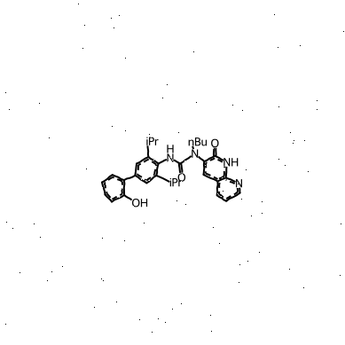 CCCCN(C(=O)Nc1c(C(C)C)cc(-c2ccccc2O)cc1C(C)C)c1cc2cccnc2[nH]c1=O